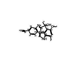 COc1cc(C)c2[nH]ccc2c1C(C)(O)c1nc2cc(C#N)ccc2[nH]1